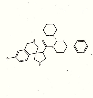 O=C(C1CNC[C@]12CNCc1cc(Br)ccc12)N1CC[C@@H](c2ccccc2)C[C@H]1C1CCCCC1